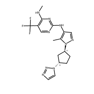 CNc1nc(Nc2cnn([C@H]3CC[C@H](n4ccnn4)C3)c2C)ncc1C(F)(F)F